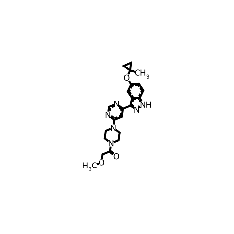 COCC(=O)N1CCN(c2cc(-c3n[nH]c4ccc(OC5(C)CC5)cc34)ncn2)CC1